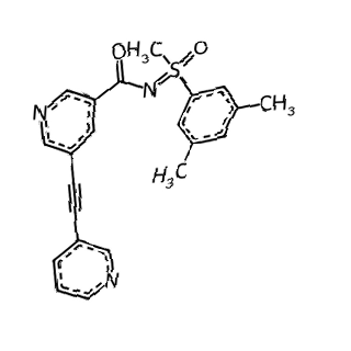 Cc1cc(C)cc(S(C)(=O)=NC(=O)c2cncc(C#Cc3cccnc3)c2)c1